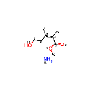 COC(=O)C(C)=C(C)CCO.N